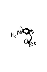 CCC(=O)Cc1cc(N)c(F)cc1F